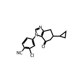 N#Cc1ccc(-n2cnc3c2C(=O)CC(C2CC2)C3)cc1Cl